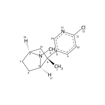 CN1[C@H]2CC[C@@H]1[C@@](C)(c1ccc(Cl)nc1)C2